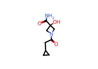 NC(=O)C1(O)CN(C(=O)[CH]C2CC2)C1